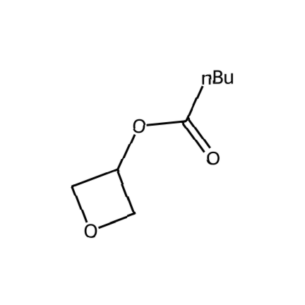 C[CH]CCC(=O)OC1COC1